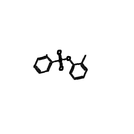 Cc1ccccc1OS(=O)(=O)c1[c]cccc1